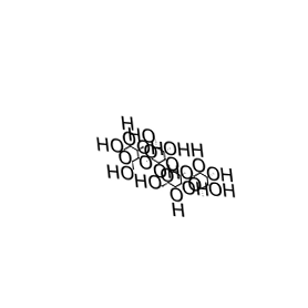 C[C@@H]1O[C@@H](O[C@H]2[C@@H](O[C@H]3[C@@H](O)[C@@H](CO)O[C@@H](O[C@H]4[C@H](O)[C@@H](O)[C@H](O)O[C@@H]4CO)[C@@H]3O)O[C@H](CO)[C@H](O)[C@@H]2O)[C@@H](O)[C@H](O)[C@@H]1O